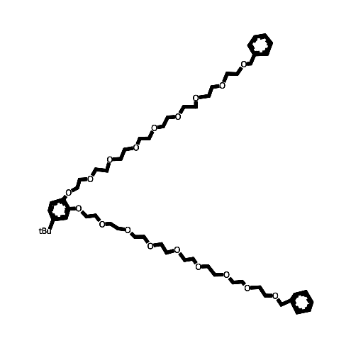 CC(C)(C)c1ccc(OCCOCCOCCOCCOCCOCCOCCOCCOCc2ccccc2)c(OCCOCCOCCOCCOCCOCCOCCOCCOCc2ccccc2)c1